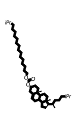 CC(C)CCCCCCCCCCCCCCCOC(=O)OC1CC[C@@]2(C)C(=CCC3C2CC[C@@]2(C)C3CC[C@@H]2[C@H](C)CCCC(C)C)C1